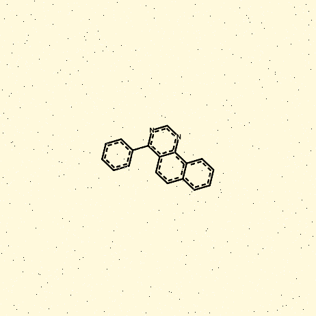 c1ccc(-c2ncnc3c2ccc2ccccc23)cc1